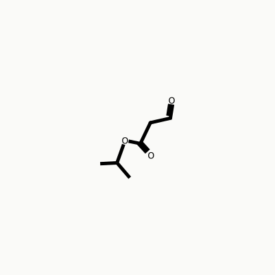 CC(C)OC(=O)CC=O